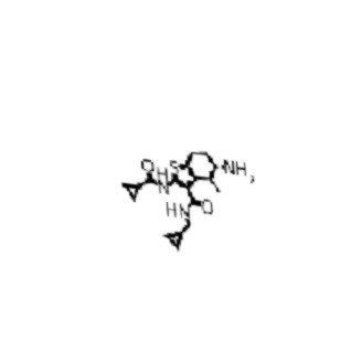 C[C@H]1c2c(sc(NC(=O)C3CC3)c2C(=O)NCC2CC2)CC[C@@H]1N